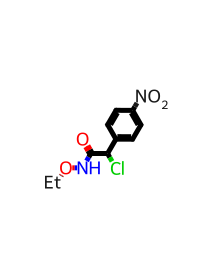 CCONC(=O)C(Cl)c1ccc([N+](=O)[O-])cc1